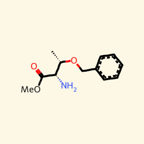 COC(=O)[C@@H](N)[C@H](C)OCc1ccccc1